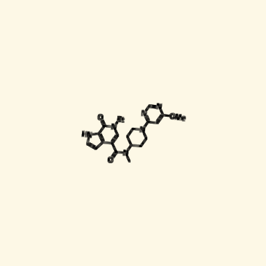 CCn1cc(C(=O)N(C)C2CCN(c3cc(OC)ncn3)CC2)c2cc[nH]c2c1=O